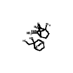 CC12CCC(C(S(=O)(=O)O)C1=O)C2(C)C.OC1(CS)CN2CCC1CC2